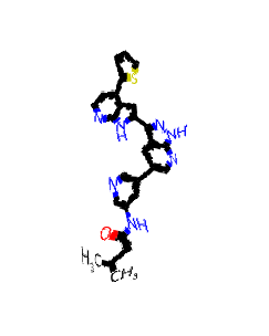 CC(C)CC(=O)Nc1cncc(-c2cnc3[nH]nc(-c4cc5c(-c6cccs6)ccnc5[nH]4)c3c2)c1